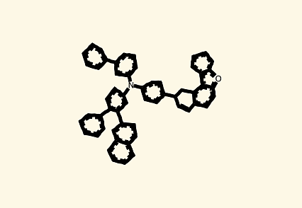 C1=CC(c2ccc(N(c3cccc(-c4ccccc4)c3)c3ccc(-c4ccccc4)c(-c4ccc5ccccc5c4)c3)cc2)Cc2c1ccc1oc3ccccc3c21